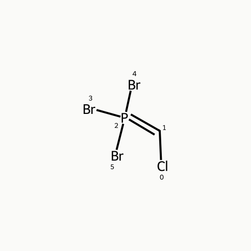 ClC=P(Br)(Br)Br